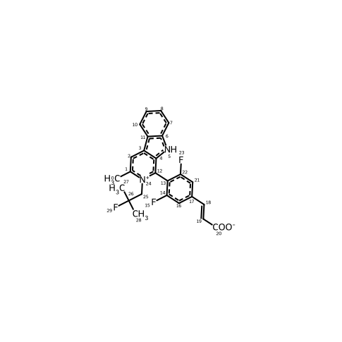 Cc1cc2c([nH]c3ccccc32)c(-c2c(F)cc(C=CC(=O)[O-])cc2F)[n+]1CC(C)(C)F